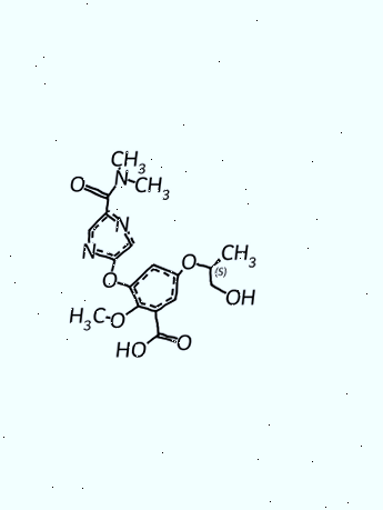 COc1c(Oc2cnc(C(=O)N(C)C)cn2)cc(O[C@@H](C)CO)cc1C(=O)O